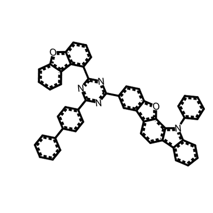 c1ccc(-c2ccc(-c3nc(-c4ccc5oc6c(ccc7c8ccccc8n(-c8ccccc8)c76)c5c4)nc(-c4cccc5oc6ccccc6c45)n3)cc2)cc1